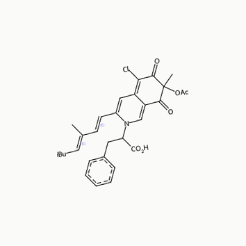 CCC(C)/C=C(C)/C=C/C1=CC2=C(Cl)C(=O)C(C)(OC(C)=O)C(=O)C2=CN1C(Cc1ccccc1)C(=O)O